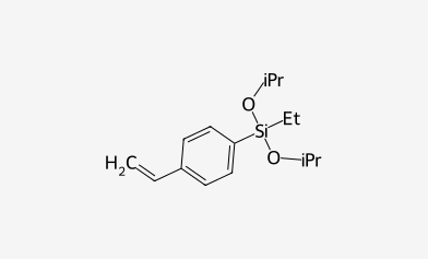 C=Cc1ccc([Si](CC)(OC(C)C)OC(C)C)cc1